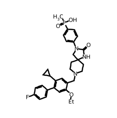 CCOc1cc(-c2ccc(F)cc2)c(C2CC2)cc1CN1CCC2(CC1)CN(c1ccc(P(C)(=O)O)cc1)C(=O)N2